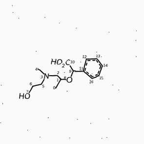 CC(CN(C)CCO)OC(C(=O)O)c1ccccc1